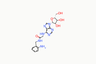 Nc1ccccc1CNC(=O)CNc1ncnc2c1ncn2[C@@H]1O[C@H](CO)[C@@H](O)[C@H]1O